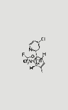 CC1=C[C@H]2C(c3cc(Cl)ccn3)=C([N+](=O)[O-])[C@@H]1C2OC(F)F